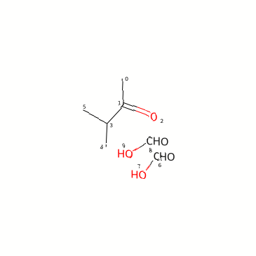 CC(=O)C(C)C.O=CO.O=CO